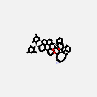 C=C1/C=C\C=C/Cc2ccc(N(c3ccccc3)c3ccc4ccc5c(B(c6c(C)cc(C)cc6C)c6c(C)cc(C)cc6C)ccc6c7ccccc7c3c4c56)cc2C1(c1ccccc1)c1ccccc1